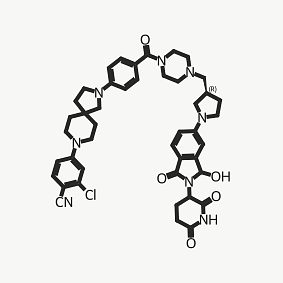 N#Cc1ccc(N2CCC3(CC2)CCN(c2ccc(C(=O)N4CCN(C[C@H]5CCN(c6ccc7c(c6)C(O)N(C6CCC(=O)NC6=O)C7=O)C5)CC4)cc2)C3)cc1Cl